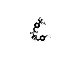 Cc1ccc(Cn2ncc(NC(=O)Cc3ccc(C4(C)COC4)cc3)n2)cc1